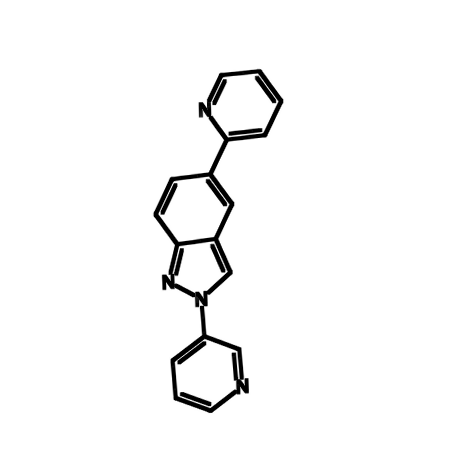 c1ccc(-c2ccc3nn(-c4cccnc4)cc3c2)nc1